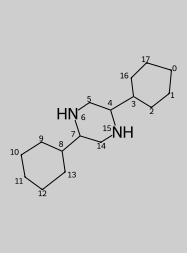 C1CCC(C2CNC(C3CCCCC3)CN2)CC1